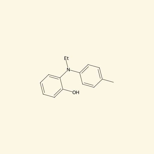 CCN(c1ccc(C)cc1)c1ccccc1O